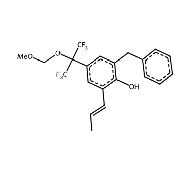 C/C=C/c1cc(C(OCOC)(C(F)(F)F)C(F)(F)F)cc(Cc2ccccc2)c1O